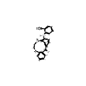 Nc1ccccc1Nc1ccc2cc1OCCOc1ccccc1C2=O